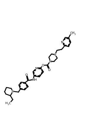 CCC1CCCCN1Cc1ccc(C(=O)Nc2ccc(OC(=O)N3CCN(CCc4ccc(C)cn4)CC3)nc2)cc1